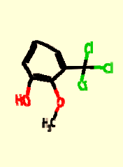 COc1c(O)cccc1C(Cl)(Cl)Cl